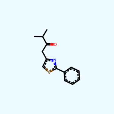 CC(C)C(=O)Cc1csc(-c2ccccc2)n1